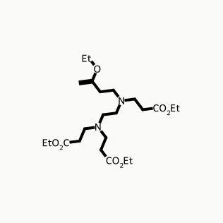 C=C(CCN(CCC(=O)OCC)CCN(CCC(=O)OCC)CCC(=O)OCC)OCC